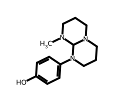 CN1CCCN2CCCN(c3ccc(O)cc3)C12